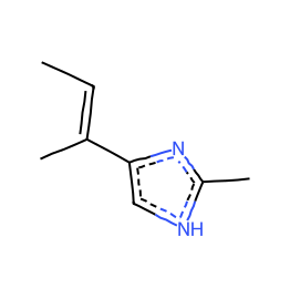 C/C=C(\C)c1c[nH]c(C)n1